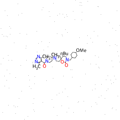 CCCCC1CN(CC2CCC(OC)CC2)C(=O)OC12CCN(C1(C)CCN(C(=O)c3c(C)ncnc3C)CC1)CC2